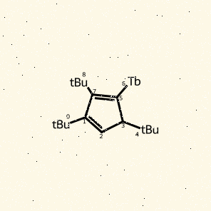 CC(C)(C)C1=CC(C(C)(C)C)[C]([Tb])=C1C(C)(C)C